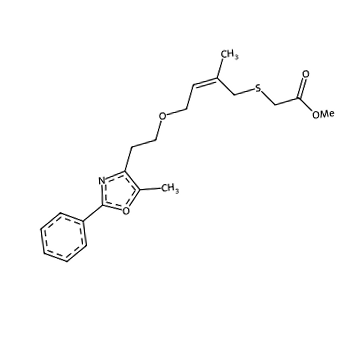 COC(=O)CSCC(C)=CCOCCc1nc(-c2ccccc2)oc1C